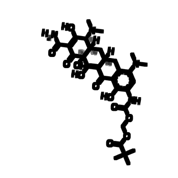 CN(C)c1cc(NC(=O)OCOC(=O)C(C)(C)C)c(O)c2c1C[C@H]1C[C@H]3[C@H](N(C)C)C(O)=C(C(N)=O)C(=O)[C@@]3(O)C(O)=C1C2=O